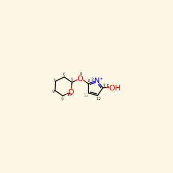 OC1=[N+]=C(OC2CCCCO2)C=C1